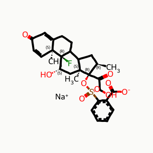 C[C@@H]1CC2C3CCC4=CC(=O)C=C[C@]4(C)[C@@]3(F)[C@@H](O)C[C@]2(C)[C@@]1(OS(=O)(=O)c1ccccc1C(=O)[O-])C(=O)CO.[Na+]